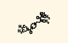 CCN(CC)C(=O)N1CCN(CCN(C)C(=O)N(C)C)CC1